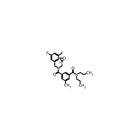 CCCN(CCC)C(=O)c1cc(C)cc(C(=O)N(Cc2cc(F)cc(F)c2)C[C@H]2CO2)c1